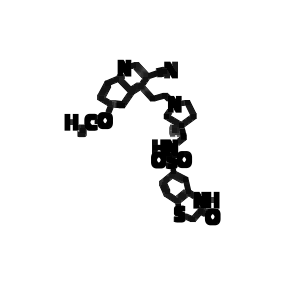 COc1ccc2ncc(C#N)c(CCN3CC[C@@H](CNS(=O)(=O)c4ccc5c(c4)NC(=O)CS5)C3)c2c1